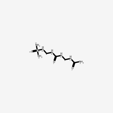 NC(=O)NCNC(=O)NCNP(N)(N)=S